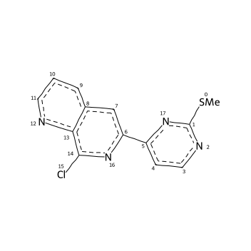 CSc1nccc(-c2cc3cccnc3c(Cl)n2)n1